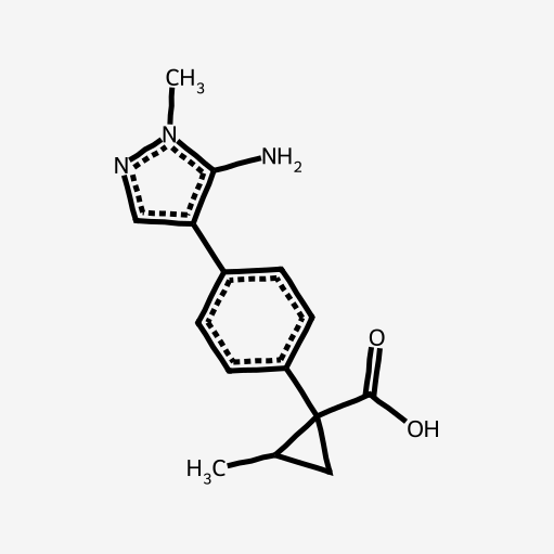 CC1CC1(C(=O)O)c1ccc(-c2cnn(C)c2N)cc1